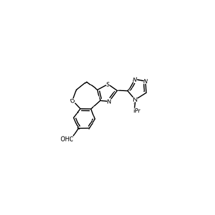 CC(C)n1cnnc1-c1nc2c(s1)CCOc1cc(C=O)ccc1-2